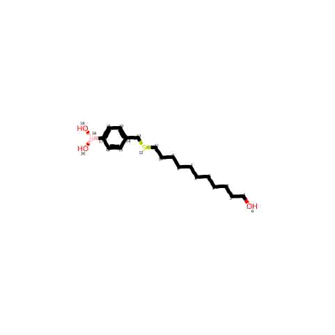 OCCCCCCCCCCCSCc1ccc(B(O)O)cc1